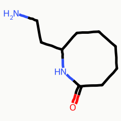 NCCC1CCCCCC(=O)N1